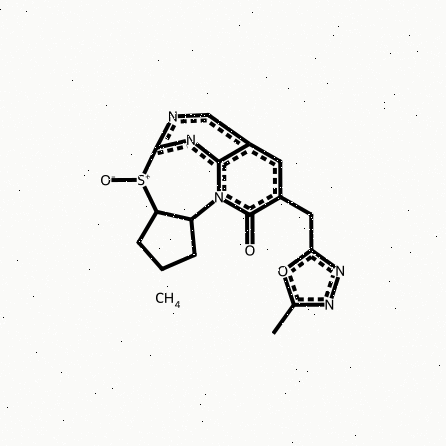 C.Cc1nnc(Cc2cc3cnc4nc3n(c2=O)C2CCCC2[S+]4[O-])o1